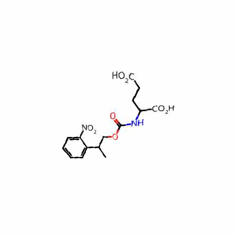 CC(COC(=O)NC(CCC(=O)O)C(=O)O)c1ccccc1[N+](=O)[O-]